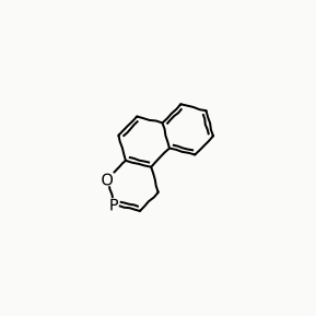 C1=POc2ccc3ccccc3c2C1